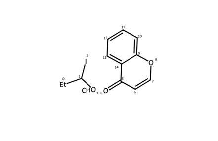 CCC(I)C=O.O=c1ccoc2ccccc12